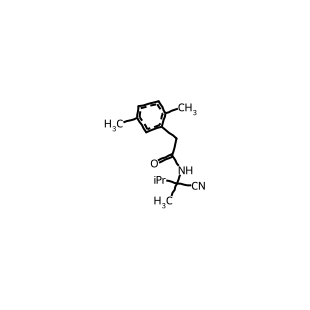 Cc1ccc(C)c(CC(=O)NC(C)(C#N)C(C)C)c1